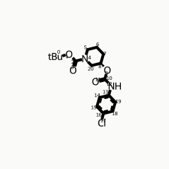 CC(C)(C)OC(=O)N1CCC[C@@H](OC(=O)Nc2ccc(Cl)cc2)C1